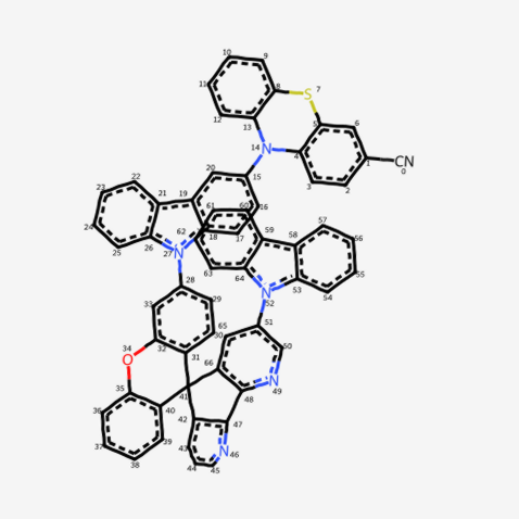 N#Cc1ccc2c(c1)Sc1ccccc1N2c1ccc2c(c1)c1ccccc1n2-c1ccc2c(c1)Oc1ccccc1C21c2cccnc2-c2ncc(-n3c4ccccc4c4ccccc43)cc21